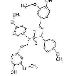 COc1ccc(C(C=Cc2ccc(O)c(OC)c2)S(=O)(=O)C(C=Cc2ccc(O)c(OC)c2)c2ccc(OC)cc2)cc1